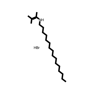 Br.CCCCCCCCCCCCCCCCNC(C)=C(C)C